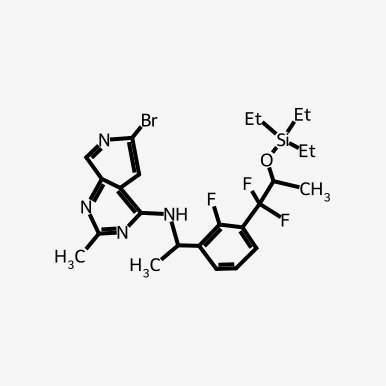 CC[Si](CC)(CC)OC(C)C(F)(F)c1cccc(C(C)Nc2nc(C)nc3cnc(Br)cc23)c1F